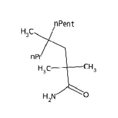 CCCCCC(C)(CCC)CC(C)(C)C(N)=O